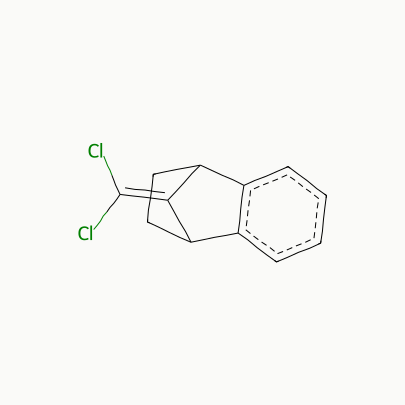 ClC(Cl)=C1C2CCC1c1ccccc12